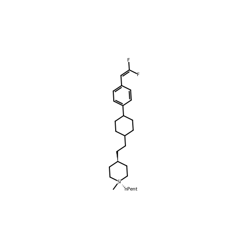 CCCCC[Si@]1(C)CC[C@@H](CCC2CCC(c3ccc(C=C(F)F)cc3)CC2)CC1